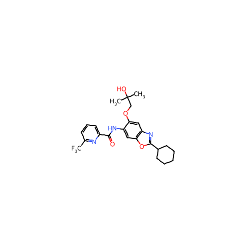 CC(C)(O)COc1cc2nc(C3CCCCC3)oc2cc1NC(=O)c1cccc(C(F)(F)F)n1